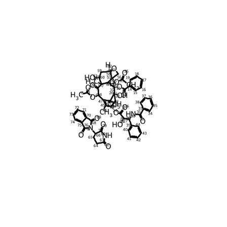 CC(=O)O[C@H]1C(=O)[C@@]2(C)[C@H]([C@H](OC(=O)c3ccccc3)[C@]3(O)C[C@H](OC(=O)[C@H](O)[C@@H](NC(=O)c4ccccc4)c4ccccc4)C(C)=C1C3(C)C)[C@]1(OC(C)=O)CO[C@@H]1C[C@@H]2O.O=C1CCC(N2C(=O)c3ccccc3C2=O)C(=O)N1